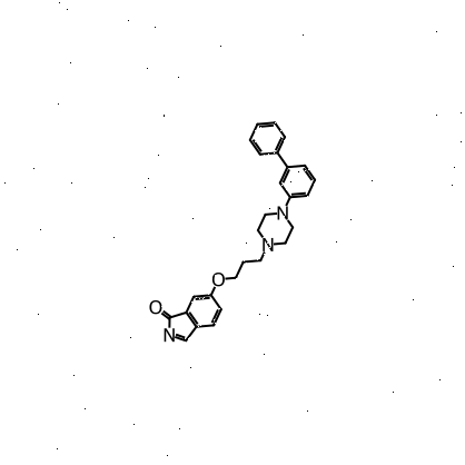 O=C1N=Cc2ccc(OCCCN3CCN(c4cccc(-c5ccccc5)c4)CC3)cc21